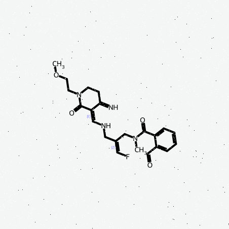 COCCN1CCC(=N)/C(=C\NC/C(=C/F)CN(C)C(=O)c2ccccc2C=O)C1=O